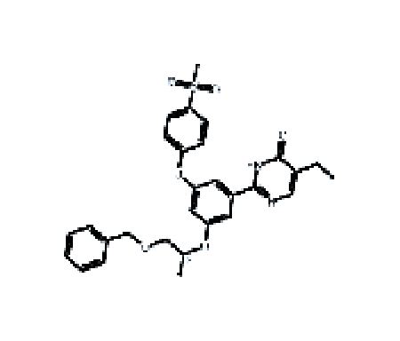 CCc1cnc(-c2cc(Oc3ccc(S(C)(=O)=O)cc3)cc(O[C@@H](C)COCc3ccccc3)c2)[nH]c1=O